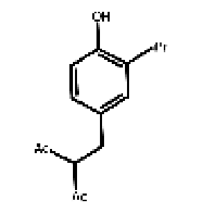 CC(=O)C(Cc1ccc(O)c(C(C)C)c1)C(C)=O